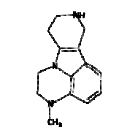 CN1CCn2c3c(c4cccc1c42)CNCC3